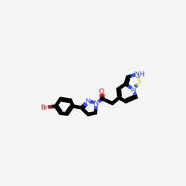 O=C(CC1=CC2=CNSN2C=C1)N1CCC(c2ccc(Br)cc2)=N1